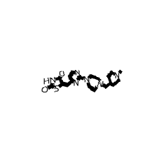 CN1CCC(CN2CCN(c3nccc(/C=C4/SC(=O)NC4=O)n3)CC2)CC1